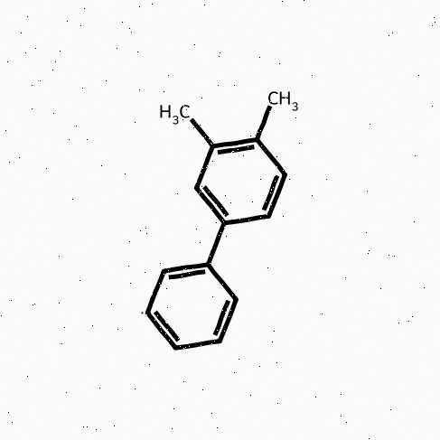 Cc1ccc(-c2c[c]ccc2)cc1C